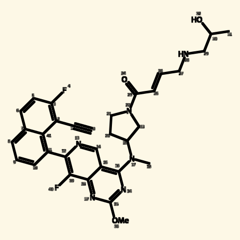 C#Cc1c(F)ccc2cccc(-c3ncc4c(N(C)C5CCN(C(=O)/C=C/CNCC(C)O)C5)nc(OC)nc4c3F)c12